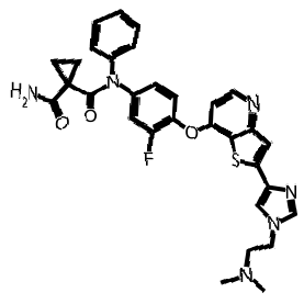 CN(C)CCn1cnc(-c2cc3nccc(Oc4ccc(N(C(=O)C5(C(N)=O)CC5)c5ccccc5)cc4F)c3s2)c1